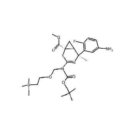 COC(=O)[C@]12CC1[C@@](C)(c1cc(N)ccc1F)N=C(N(COCC[Si](C)(C)C)C(=O)OC(C)(C)C)S2